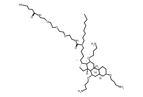 CCCCCCCCN(CCC[C@@H](C)[C@H]1CC[C@H]2[C@@H]3[C@H](OCCCN)C[C@@H]4C[C@H](OCCCN)CC[C@]4(C)[C@H]3C[C@H](OCCCN)[C@]12C)C(=O)NCCOCCOCCOCCNC(=O)CCCS